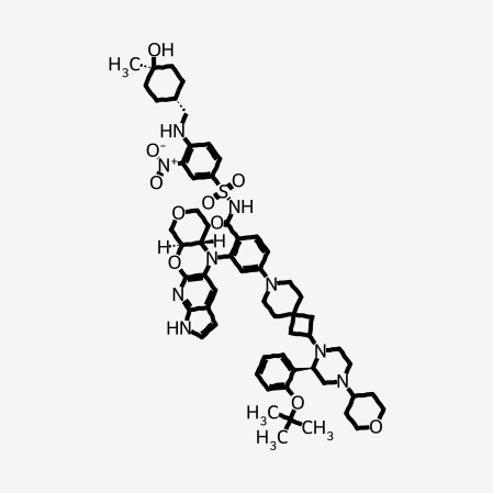 CC(C)(C)Oc1ccccc1[C@@H]1CN(C2CCOCC2)CCN1C1CC2(CCN(c3ccc(C(=O)NS(=O)(=O)c4ccc(NC[C@H]5CC[C@](C)(O)CC5)c([N+](=O)[O-])c4)c(N4c5cc6cc[nH]c6nc5O[C@H]5COCC[C@@H]54)c3)CC2)C1